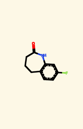 O=C1CCCc2ccc(F)cc2N1